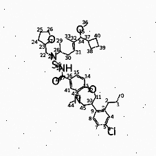 CCCc1cc(Cl)ccc1C1COc2ccc(C(=O)NSN(CC3CCCO3)C(C)C/C=C(\C)C(OC)C3CCC3)cc2N(C)C1